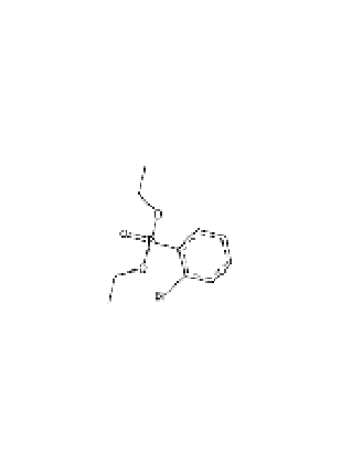 CCOP(=O)(OCC)c1ccccc1Br